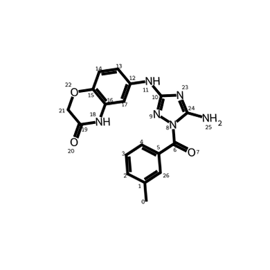 Cc1cccc(C(=O)n2nc(Nc3ccc4c(c3)NC(=O)CO4)nc2N)c1